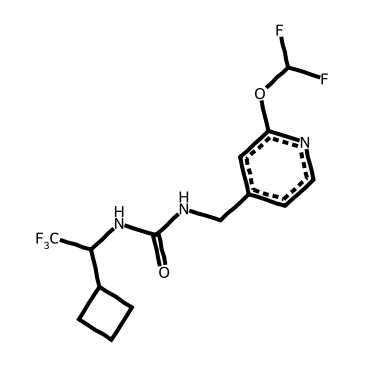 O=C(NCc1ccnc(OC(F)F)c1)NC(C1CCC1)C(F)(F)F